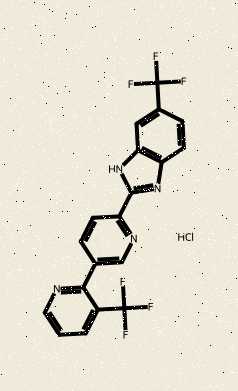 Cl.FC(F)(F)c1ccc2nc(-c3ccc(-c4ncccc4C(F)(F)F)cn3)[nH]c2c1